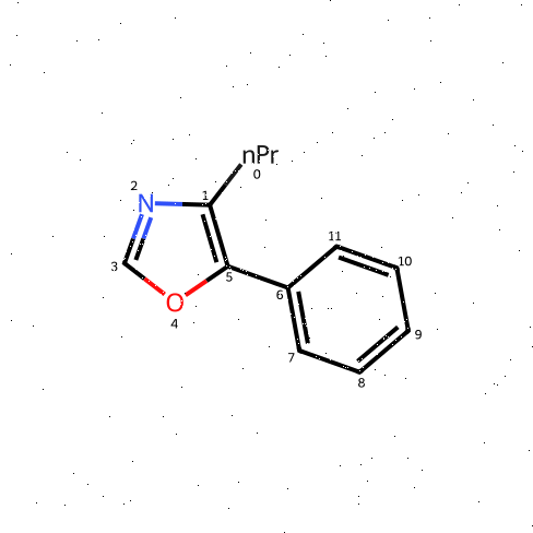 CCCc1ncoc1-c1ccccc1